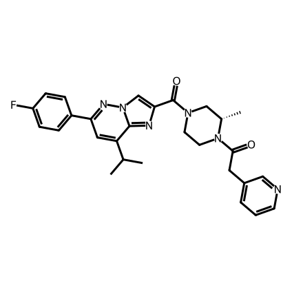 CC(C)c1cc(-c2ccc(F)cc2)nn2cc(C(=O)N3CCN(C(=O)Cc4cccnc4)[C@@H](C)C3)nc12